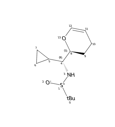 CC(C)(C)[S+]([O-])N[C@H](C1CC1)[C@@H]1CCC=CO1